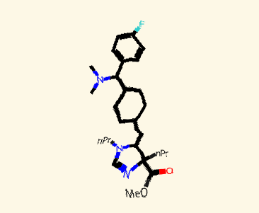 CCCN1C=NC(CCC)(C(=O)OC)C1CC1CCC(C(c2ccc(F)cc2)N(C)C)CC1